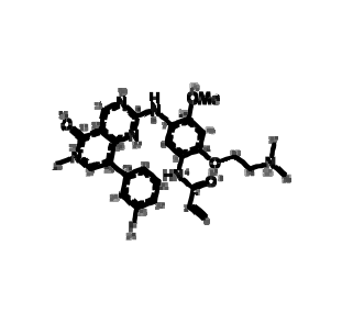 C=CC(=O)Nc1cc(Nc2ncc3c(=O)n(C)cc(-c4cccc(F)c4)c3n2)c(OC)cc1OCCN(C)C